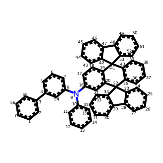 c1ccc(-c2cccc(N(c3ccccc3)c3ccc4c(c3)C3(c5ccccc5-c5ccccc53)c3ccccc3C43c4ccccc4-c4ccccc43)c2)cc1